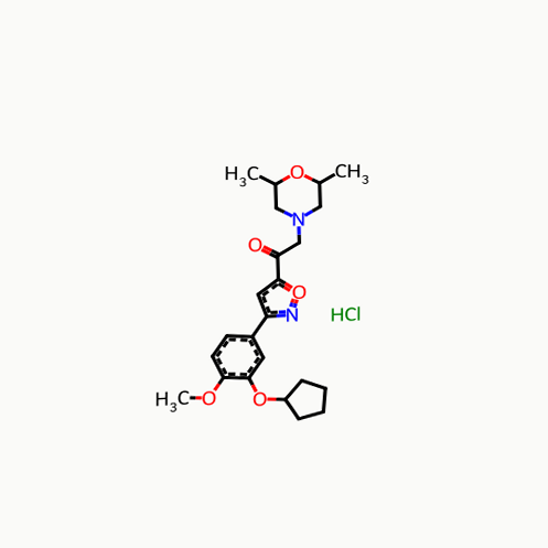 COc1ccc(-c2cc(C(=O)CN3CC(C)OC(C)C3)on2)cc1OC1CCCC1.Cl